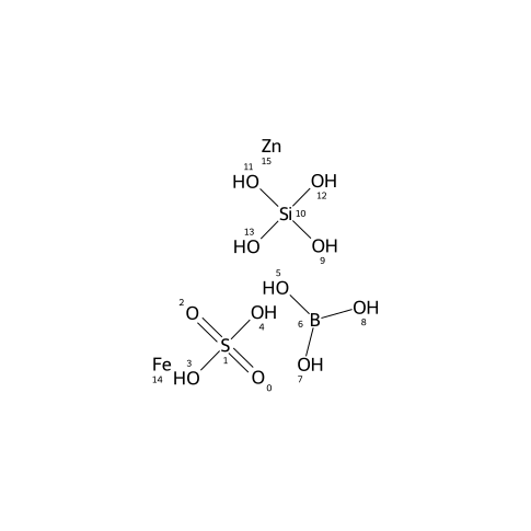 O=S(=O)(O)O.OB(O)O.O[Si](O)(O)O.[Fe].[Zn]